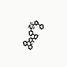 CC1C(c2ccccc2-c2cccc(C3=NC=NC(c4cccc(-c5ccccc5)c4)N3C)c2)=CC=C2c3ccccc3C3C=CC=CC3(C)C21